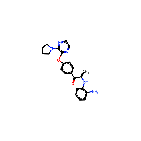 C=C(Nc1ccccc1N)C(=O)c1ccc(Oc2nccnc2N2CCCC2)cc1